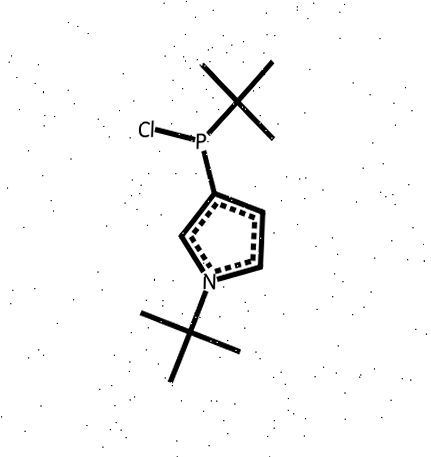 CC(C)(C)n1ccc(P(Cl)C(C)(C)C)c1